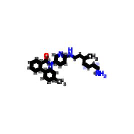 C=C(/C=C\C=C/N)CCNc1ccc(NC(=O)c2ccccc2-c2ccc(C(F)(F)F)cc2)cn1